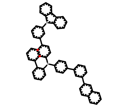 c1ccc(-c2ccccc2N(c2ccc(-c3cccc(-c4ccc5ccccc5c4)c3)cc2)c2ccc(-c3cccc(-n4c5ccccc5c5ccccc54)c3)cc2)cc1